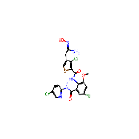 COc1cc(Cl)cc(C(=O)Nc2ccc(Cl)cn2)c1NC(=O)c1scc(C/C(N)=N\O)c1Cl